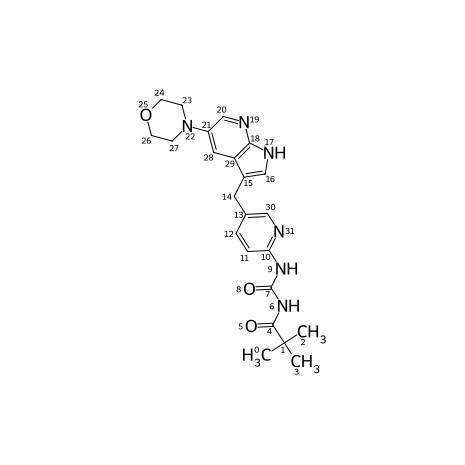 CC(C)(C)C(=O)NC(=O)Nc1ccc(Cc2c[nH]c3ncc(N4CCOCC4)cc23)cn1